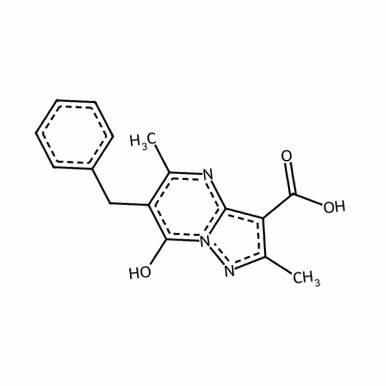 Cc1nc2c(C(=O)O)c(C)nn2c(O)c1Cc1ccccc1